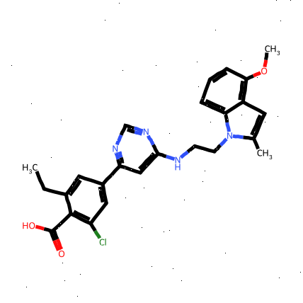 CCc1cc(-c2cc(NCCn3c(C)cc4c(OC)cccc43)ncn2)cc(Cl)c1C(=O)O